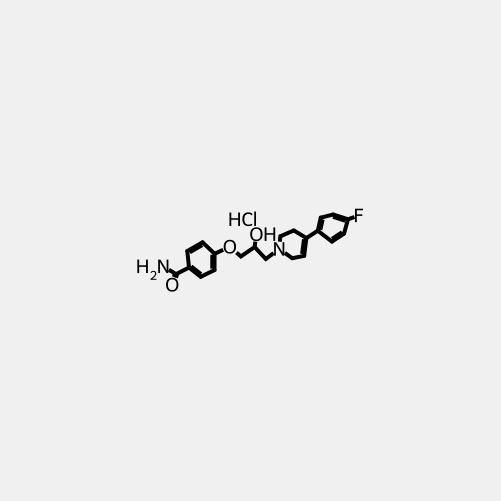 Cl.NC(=O)c1ccc(OCC(O)CN2CC=C(c3ccc(F)cc3)CC2)cc1